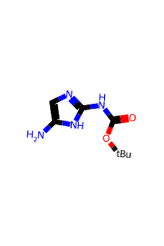 CC(C)(C)OC(=O)Nc1ncc(N)[nH]1